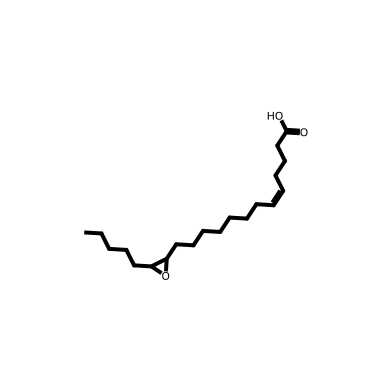 CCCCCC1OC1CCCCCCC/C=C\CCCC(=O)O